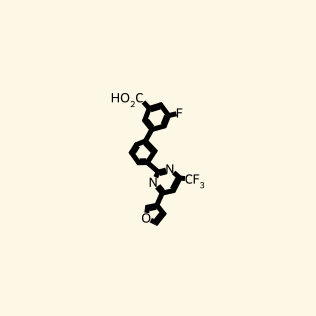 O=C(O)c1cc(F)cc(-c2cccc(-c3nc(-c4ccoc4)cc(C(F)(F)F)n3)c2)c1